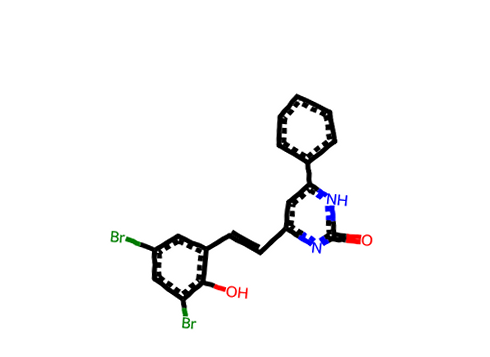 O=c1nc(C=Cc2cc(Br)cc(Br)c2O)cc(-c2ccccc2)[nH]1